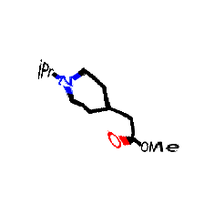 COC(=O)CC1CCN(C(C)C)CC1